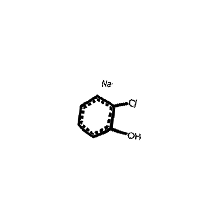 Oc1ccccc1Cl.[Na]